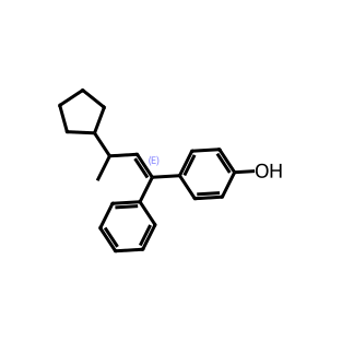 CC(/C=C(\c1ccccc1)c1ccc(O)cc1)C1CCCC1